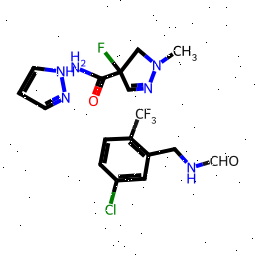 CN1CC(F)(C(N)=O)C=N1.O=CNCc1cc(Cl)ccc1C(F)(F)F.c1cn[nH]c1